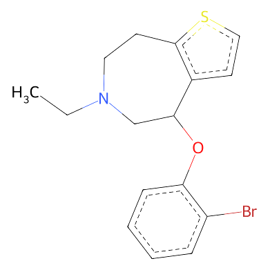 CCN1CCc2sccc2C(Oc2ccccc2Br)C1